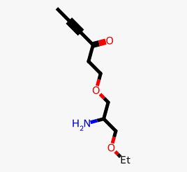 CC#CC(=O)CCOCC(N)COCC